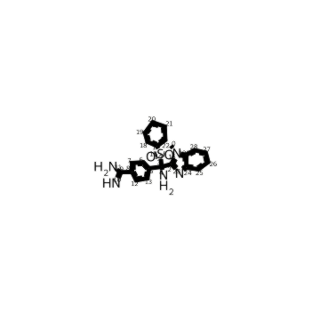 Cn1c(C(N)(c2ccc(C(=N)N)cc2)S(=O)(=O)c2ccccc2)nc2ccccc21